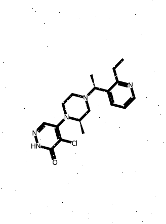 CCc1ncccc1[C@H](C)N1CCN(c2cn[nH]c(=O)c2Cl)[C@H](C)C1